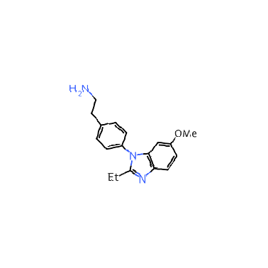 CCc1nc2ccc(OC)cc2n1-c1ccc(CCN)cc1